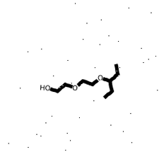 CCC(CC)OCCOCCO